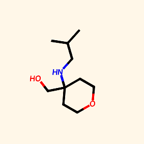 CC(C)CNC1(CO)CCOCC1